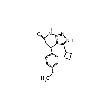 CSc1ccc(C2CC(=O)Nc3n[nH]c(C4CCC4)c32)cc1